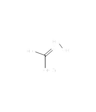 CC(=O)O.OO.[Zn]